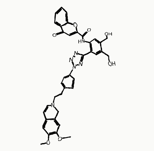 COc1cc2c(cc1OC)CN(CCc1ccc(-n3nnc(-c4cc(CO)c(CO)cc4NC(=O)c4cc(=O)c5ccccc5o4)n3)cc1)C=C2